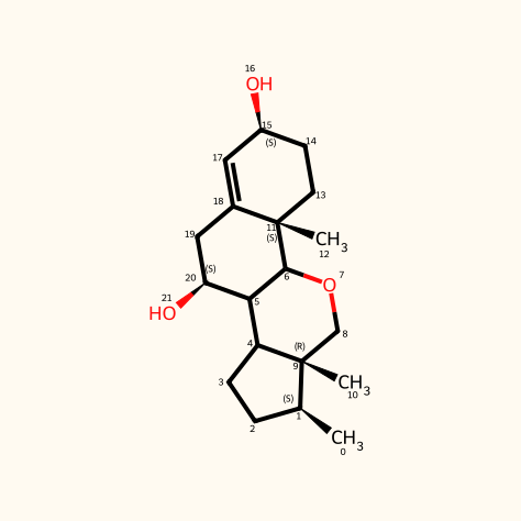 C[C@H]1CCC2C3C(OC[C@@]21C)[C@@]1(C)CC[C@H](O)C=C1C[C@@H]3O